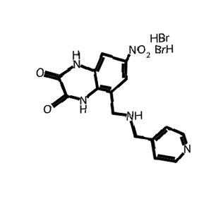 Br.Br.O=c1[nH]c2cc([N+](=O)[O-])cc(CNCc3ccncc3)c2[nH]c1=O